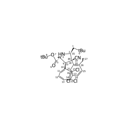 CC(C)(C)C[C@@H]1N[C@@H](C(=O)OC(C)(C)C)[C@H](c2cccc(Cl)c2Cl)[C@@]1(C#N)c1cc(Cl)ccc1F